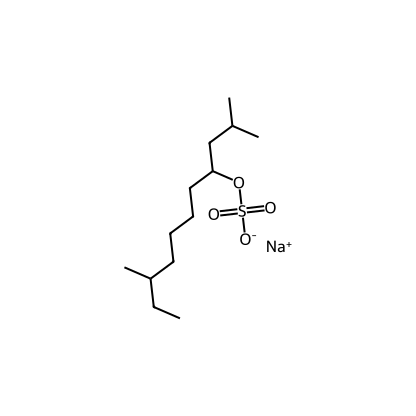 CCC(C)CCCCC(CC(C)C)OS(=O)(=O)[O-].[Na+]